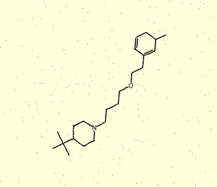 CC1C=C(CCOCCCCN2CCC(C(C)(C)C)CC2)C=CC1